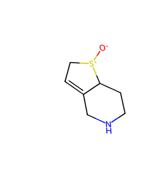 [O-][S+]1CC=C2CNCCC21